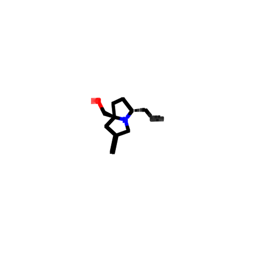 C=C1CN2[C@@H](COC)CC[C@@]2(CO)C1